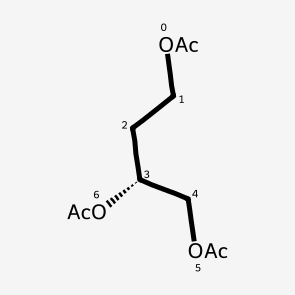 CC(=O)OCC[C@H](COC(C)=O)OC(C)=O